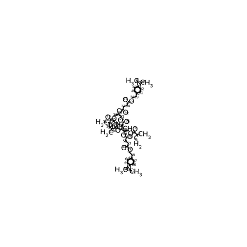 C=C(C)C(=O)OCC(COC(=O)C(=C)CC(C)(C)C(=O)OCC(COC(=O)C(=C)C)OC(=O)CCC(=O)OCCc1ccc(N(C)C)cc1)OC(=O)CCC(=O)OCCc1ccc(N(C)C)cc1